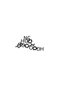 CC1=C(c2ccc(C#N)c(O)c2)C(c2ccc(OCC(C)N3CCC(C)C3)cc2)Oc2ccc(O)cc21